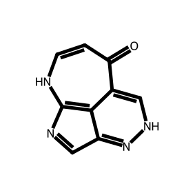 O=c1cc[nH]c2ncc3n[nH]cc1c32